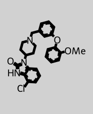 COc1ccccc1Oc1cccc(CN2CCC(n3c(=O)[nH]c4c(Cl)cccc43)CC2)c1